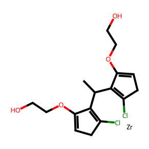 CC(C1=C(Cl)CC=C1OCCO)C1=C(Cl)CC=C1OCCO.[Zr]